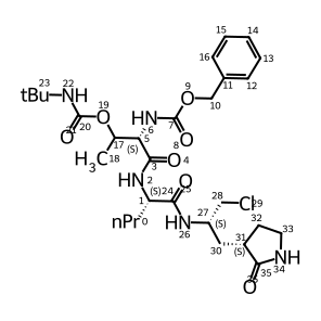 CCC[C@H](NC(=O)[C@@H](NC(=O)OCc1ccccc1)C(C)OC(=O)NC(C)(C)C)C(=O)N[C@H](CCl)C[C@@H]1CCNC1=O